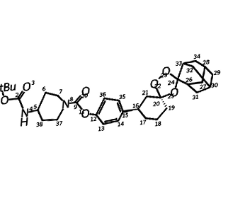 CC(C)(C)OC(=O)NC1CCN(C(=O)Oc2ccc([C@@H]3CCC[C@]4(C3)OOC3(O4)C4CC5CC(C4)CC3C5)cc2)CC1